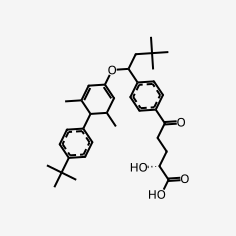 CC1=CC(OC(CC(C)(C)C)c2ccc(C(=O)CC[C@@H](O)C(=O)O)cc2)=CC(C)C1c1ccc(C(C)(C)C)cc1